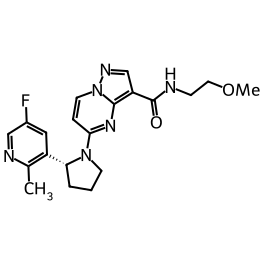 COCCNC(=O)c1cnn2ccc(N3CCC[C@@H]3c3cc(F)cnc3C)nc12